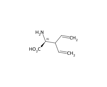 C=CC(C=C)[C@H](N)C(=O)O